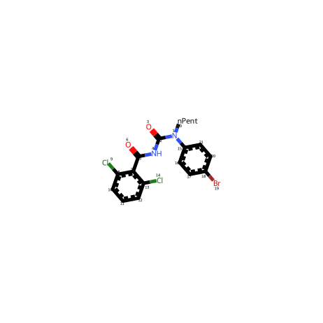 CCCCCN(C(=O)NC(=O)c1c(Cl)cccc1Cl)c1ccc(Br)cc1